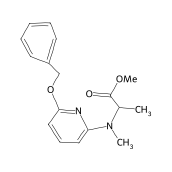 COC(=O)C(C)N(C)c1cccc(OCc2ccccc2)n1